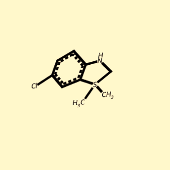 CS1(C)CNc2ccc(Cl)cc21